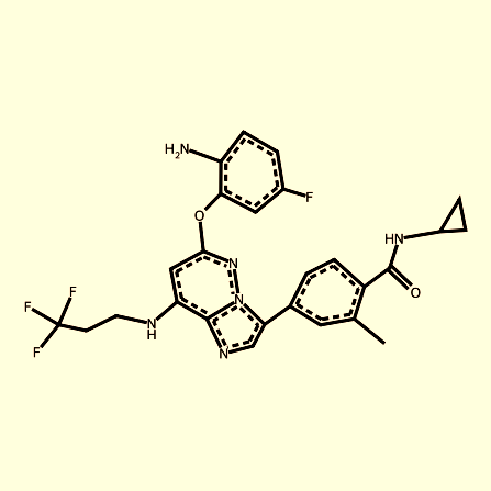 Cc1cc(-c2cnc3c(NCCC(F)(F)F)cc(Oc4cc(F)ccc4N)nn23)ccc1C(=O)NC1CC1